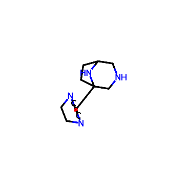 C1CC2(C3CN4CCN3CC4)CNCC1N2